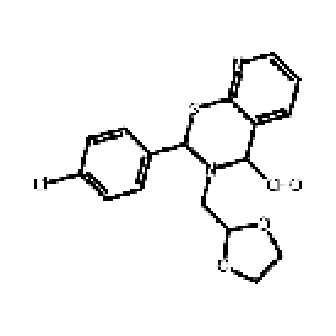 O=CC1c2cccnc2SC(c2ccc(Cl)cc2)N1CC1OCCO1